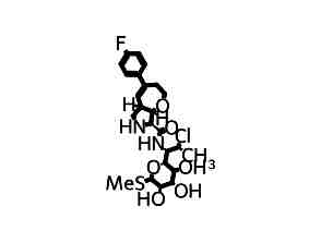 CSC1O[C@H]([C@H](NC(=O)[C@H]2NC[C@@H]3C=C(c4ccc(F)cc4)CCO[C@@H]23)[C@H](C)Cl)C(O)[C@@H](O)[C@H]1O